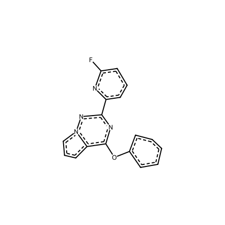 Fc1cccc(-c2nc(Oc3ccccc3)c3cccn3n2)n1